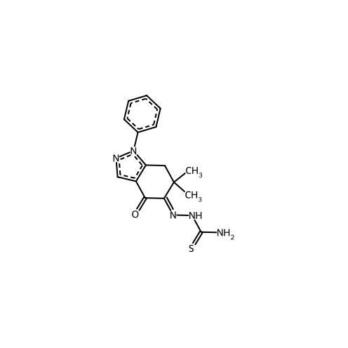 CC1(C)Cc2c(cnn2-c2ccccc2)C(=O)/C1=N/NC(N)=S